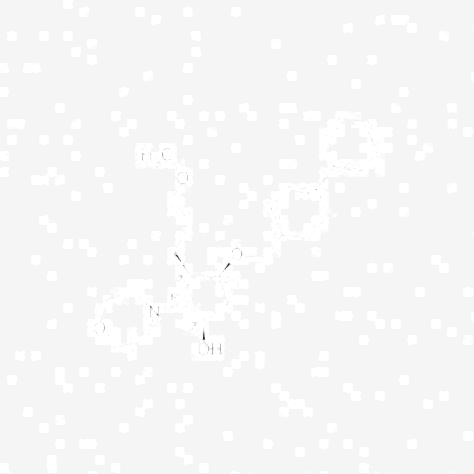 COC=CC[C@@H]1[C@@H](N2CCOCC2)[C@H](O)C[C@@H]1OCc1ccc(-c2ccccc2)cc1